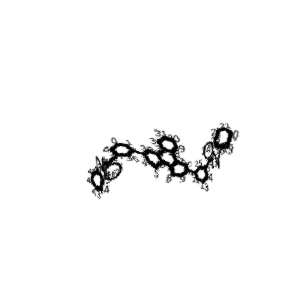 c1cc(-c2ccc3c4ccc(-c5cccc(-c6nc7ccccc7o6)c5)cc4c4ccccc4c3c2)cc(-c2nc3ccccc3o2)c1